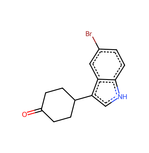 O=C1CCC(c2c[nH]c3ccc(Br)cc23)CC1